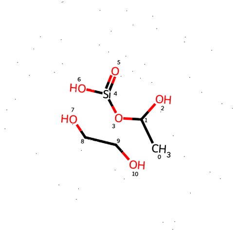 CC(O)O[Si](=O)O.OCCO